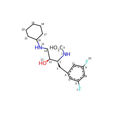 O=C(O)N[C@@H](Cc1cc(F)cc(F)c1)[C@@H](O)CNC1CCCCC1